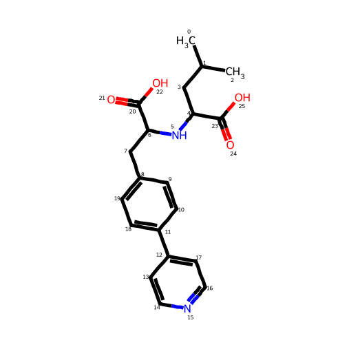 CC(C)CC(NC(Cc1ccc(-c2ccncc2)cc1)C(=O)O)C(=O)O